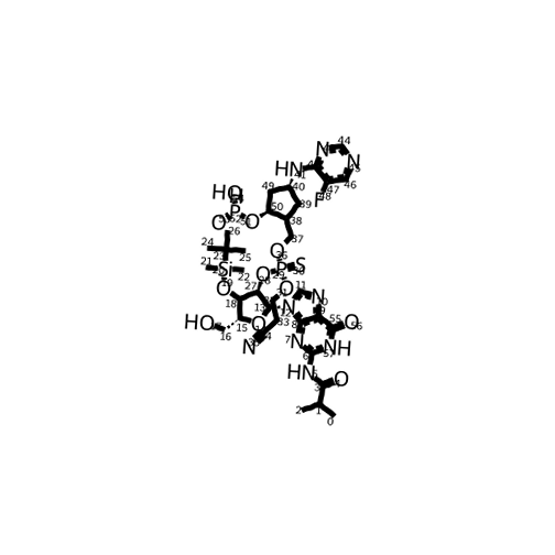 CC(C)C(=O)Nc1nc2c(ncn2[C@@H]2O[C@H](CO)C(O[Si](C)(C)C(C)(C)C)[C@H]2OP(=S)(OCCC#N)OCC2C[C@@H](Nc3ncncc3F)C[C@@H]2O[PH](=O)O)c(=O)[nH]1